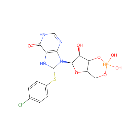 O=c1[nH]cnc2c1NC(Sc1ccc(Cl)cc1)N2[C@@H]1OC2CO[PH](O)(O)OC2[C@@H]1O